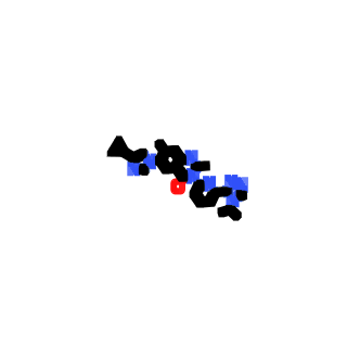 Cc1cc2nc(C)n(-c3cccc(-c4nncn4C(C)C)n3)c(=O)c2cc1-n1cnc(C2CC2)c1